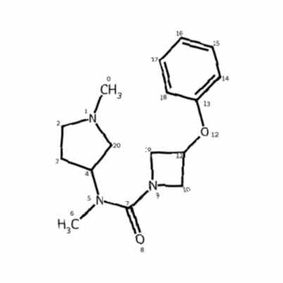 CN1CCC(N(C)C(=O)N2CC(Oc3ccccc3)C2)C1